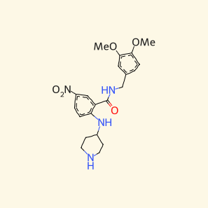 COc1ccc(CNC(=O)c2cc([N+](=O)[O-])ccc2NC2CCNCC2)cc1OC